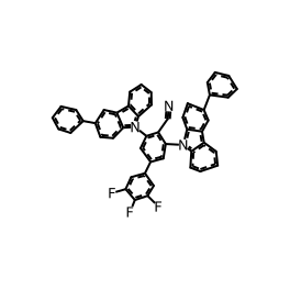 N#Cc1c(-n2c3ccccc3c3cc(-c4ccccc4)ccc32)cc(-c2cc(F)c(F)c(F)c2)cc1-n1c2ccccc2c2cc(-c3ccccc3)ccc21